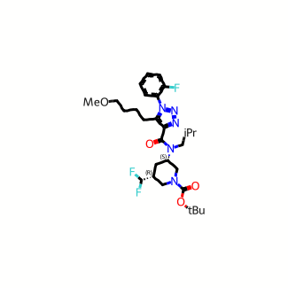 COCCCCc1c(C(=O)N(CC(C)C)[C@H]2C[C@@H](C(F)F)CN(C(=O)OC(C)(C)C)C2)nnn1-c1ccccc1F